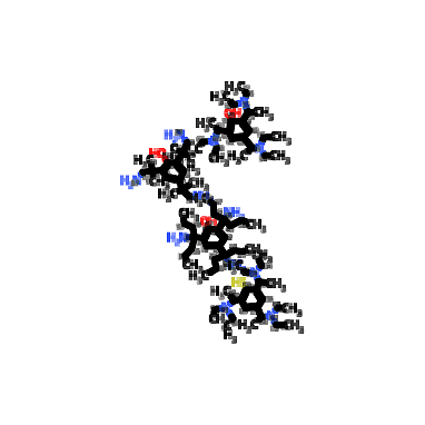 CC(C)(CN)c1cc(C(C)(C)CN)c(O)c(C(C)(C)CN)c1.CCCC(N)(CCC)c1cc(C(N)(CCC)CCC)c(O)c(C(N)(CCC)CCC)c1.CCN(CC)C(C)c1cc(C(C)N(CC)CC)c(O)c(C(C)N(CC)CC)c1.CCN(CC)C(C)c1cc(C(C)N(CC)CC)c(S)c(C(C)N(CC)CC)c1